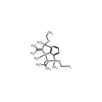 CCO[Si](C)(OCC)c1cccc([Si](C)(OCC)OCC)c1[Si](C)(OCC)OCC